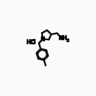 Cc1ccc(CN2CCC(CN)C2)cc1.Cl